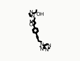 CC(O)c1nccn1Cc1cc(-c2ccc(C#CCCn3cnc4ncncc43)cc2)on1